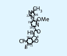 COc1nc(C(=O)N[C@H]2COc3cc(F)c(Cl)cc32)ccc1-n1cnc(C)c1